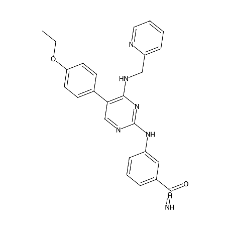 CCOc1ccc(-c2cnc(Nc3cccc([SH](=N)=O)c3)nc2NCc2ccccn2)cc1